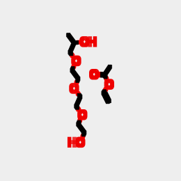 C=COC(C)=O.CC(O)COCCOCCOCCO